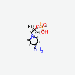 CCC(CC)(CN1CCC(N)CC1)O[PH](=O)O